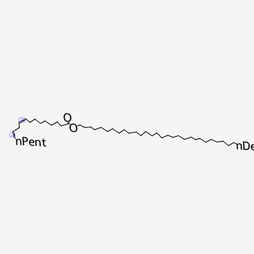 CCCCC/C=C\C/C=C\CCCCCCCC(=O)OCCCCCCCCCCCCCCCCCCCCCCCCCCCCCCCCCCCCCCC